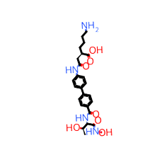 C[C@@H](O)[C@H](NC(=O)c1ccc(-c2ccc(NC(=O)C[C@@H](CCCCN)C(=O)O)cc2)cc1)C(=O)NO